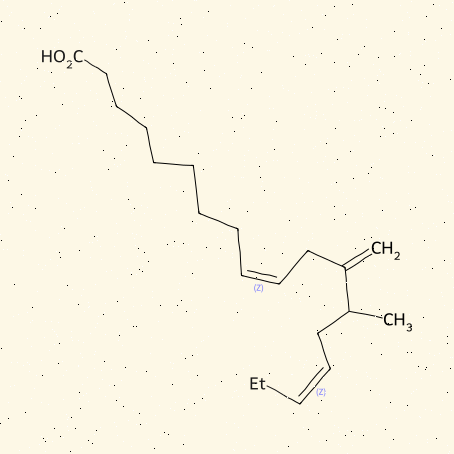 C=C(C/C=C\CCCCCCCC(=O)O)C(C)C/C=C\CC